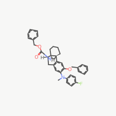 CN(c1ccc(F)cc1)c1cc2c(cc1OCc1ccccc1)[C@@]13CCCC[C@H]1[C@@H](C2)N(C(=O)OCc1ccccc1)CC3